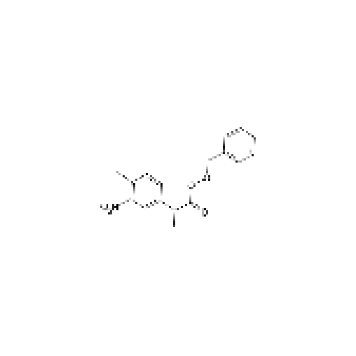 Cc1ccc(C(C)C(=O)OOCc2ccccc2)cc1[N+](=O)[O-]